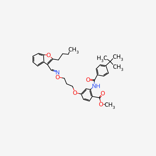 CCCCc1oc2ccccc2c1C=NOCCCOc1ccc(C(=O)OC)c(NC(=O)c2ccc(C(C)(C)C)cc2)c1